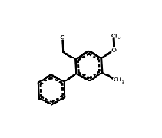 Cc1cc(-c2ccccc2)c(CCl)cc1OC(F)(F)F